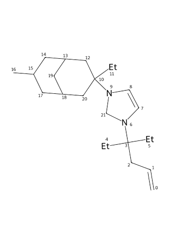 C=CCC(CC)(CC)N1C=CN(C2(CC)CC3CC(C)CC(C3)C2)C1